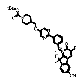 C[C@H](c1cccc(-c2ncc(OCC3CCN(C(=O)OC(C)(C)C)CC3)cn2)c1)n1c2c(cc(F)c1=O)-c1cc(C#N)ccc1C2(F)F